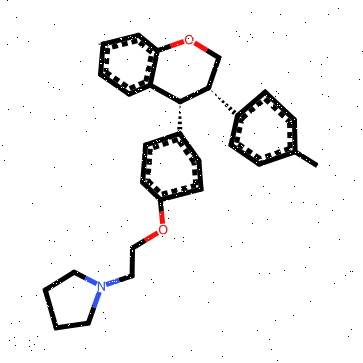 Cc1ccc([C@H]2COc3c[c]ccc3[C@H]2c2ccc(OCCN3CCCC3)cc2)cc1